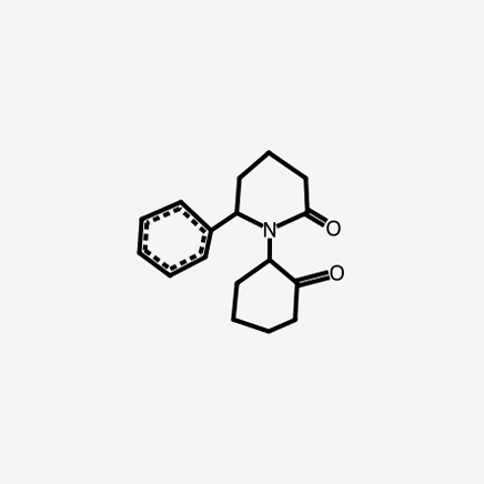 O=C1CCCCC1N1C(=O)CCCC1c1ccccc1